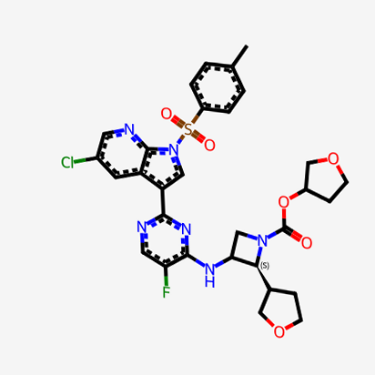 Cc1ccc(S(=O)(=O)n2cc(-c3ncc(F)c(NC4CN(C(=O)OC5CCOC5)[C@H]4C4CCOC4)n3)c3cc(Cl)cnc32)cc1